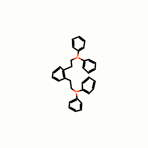 [c]1cccc(CCP(c2ccccc2)c2ccccc2)c1CCP(c1ccccc1)c1ccccc1